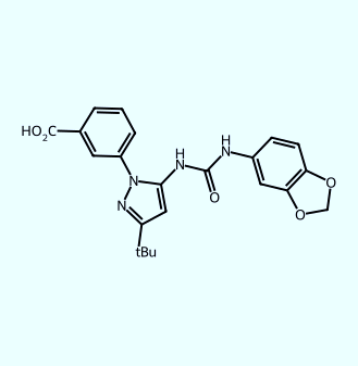 CC(C)(C)c1cc(NC(=O)Nc2ccc3c(c2)OCO3)n(-c2cccc(C(=O)O)c2)n1